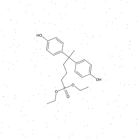 CCOP(=O)(CCCC(C)(c1ccc(O)cc1)c1ccc(O)cc1)OCC